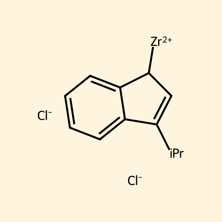 CC(C)C1=C[CH]([Zr+2])c2ccccc21.[Cl-].[Cl-]